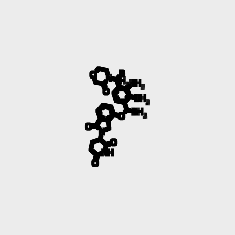 Bc1c(C(B)Oc2cccc3c2CN(C2CCC(=O)NC2=O)C3=O)ccc(C(B)N2CCOCC2=O)c1B